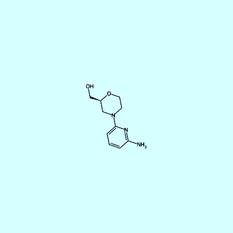 Nc1cccc(N2CCO[C@H](CO)C2)n1